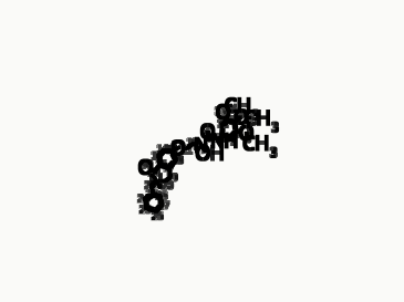 COc1cc(NC(=O)N(O)CCOc2ccc3c(c2)CCN(Cc2ccccc2)C3=O)cc(OC)c1OC